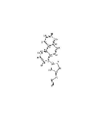 C=CCC1CCC(c2c(C)cnc3c2ccc2ccccc23)C1